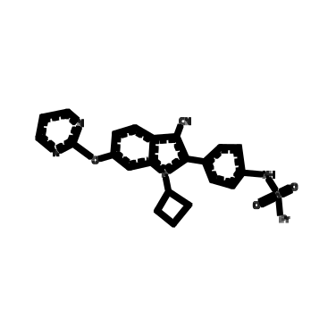 CC(C)S(=O)(=O)Nc1ccc(-c2c(C#N)c3ccc(Oc4ncccn4)cc3n2C2CCC2)cc1